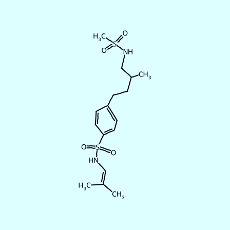 CC(C)=CNS(=O)(=O)c1ccc(CCC(C)CNS(C)(=O)=O)cc1